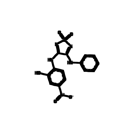 O=[N+]([O-])c1ccc(NC2=NS(=O)(=O)N=C2Nc2ccccc2)c(O)c1